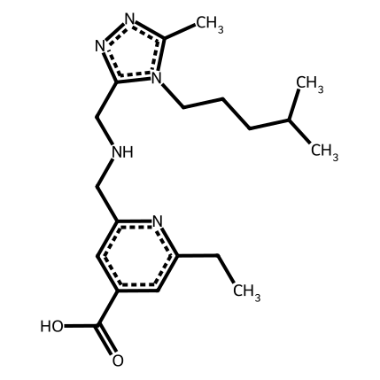 CCc1cc(C(=O)O)cc(CNCc2nnc(C)n2CCCC(C)C)n1